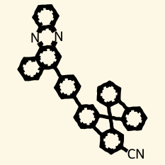 N#Cc1ccc2c(c1)C1(c3ccccc3-c3ccccc31)c1cc(-c3ccc(-c4cc5nc6ccccc6nc5c5ccccc45)cc3)ccc1-2